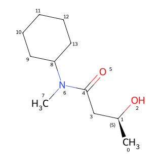 C[C@H](O)CC(=O)N(C)C1CCCCC1